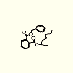 CCCCCC(CC)OC(=O)c1ccccc1C(=O)OCc1ccccc1